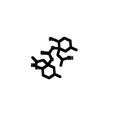 CC(O)CC1(OC(=O)OC2(CC(C)O)CC(C)CCC2C(C)C)CC(C)CCC1C(C)C